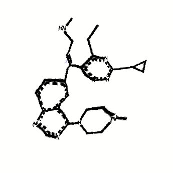 CCc1nc(C2CC2)ncc1/C(=C\CNC)c1ccc2ncnc(N3CCN(C)CC3)c2c1